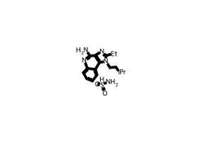 CCc1nc2c(N)nc3ccccc3c2n1CCC(C)C.N[SH](=O)=O